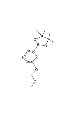 COCOc1cncc(B2OC(C)(C)C(C)(C)O2)c1